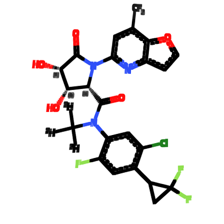 [2H]C([2H])([2H])N(C(=O)[C@@H]1[C@H](O)[C@H](O)C(=O)N1c1cc(C(F)(F)F)c2occc2n1)c1cc(Cl)c(C2CC2(F)F)cc1F